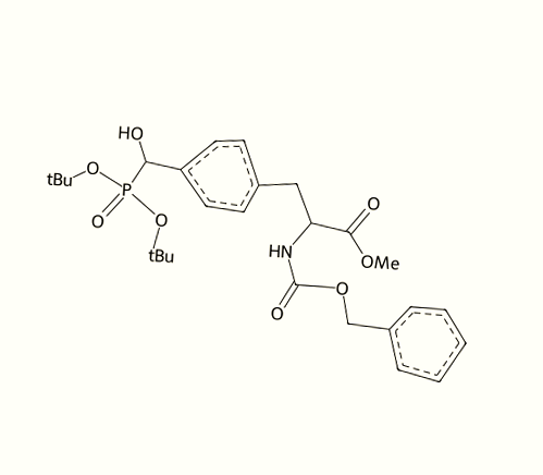 COC(=O)C(Cc1ccc(C(O)P(=O)(OC(C)(C)C)OC(C)(C)C)cc1)NC(=O)OCc1ccccc1